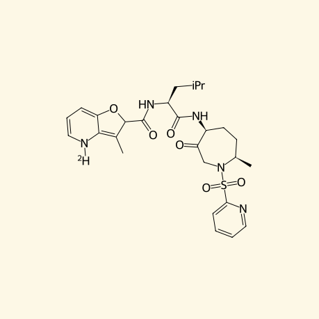 [2H]N1C=CC=C2OC(C(=O)N[C@@H](CC(C)C)C(=O)N[C@H]3CC[C@@H](C)N(S(=O)(=O)c4ccccn4)CC3=O)C(C)=C21